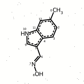 Cc1ccc2c(/C=N/O)c[nH]c2c1